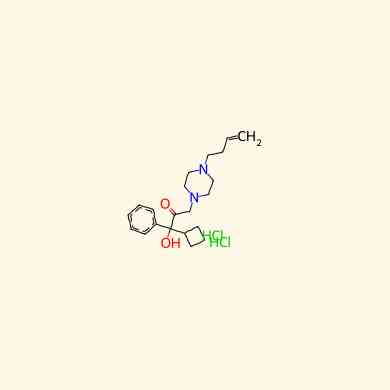 C=CCCN1CCN(CC(=O)C(O)(c2ccccc2)C2CCC2)CC1.Cl.Cl